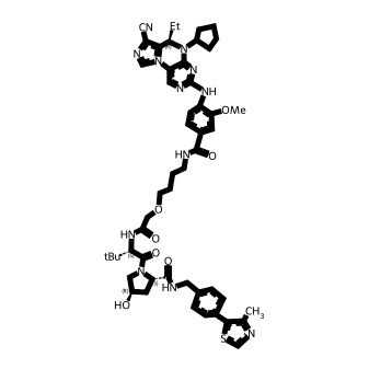 CC[C@@H]1c2c(C#N)ncn2-c2cnc(Nc3ccc(C(=O)NCCCCOCC(=O)N[C@H](C(=O)N4C[C@H](O)C[C@H]4C(=O)NCc4ccc(-c5scnc5C)cc4)C(C)(C)C)cc3OC)nc2N1C1CCCC1